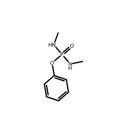 CNP(=O)(NC)Oc1ccccc1